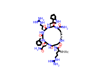 CC(=O)NC(CCCNC(=N)N)C(=O)N[C@H]1CC(=O)NCCCC[C@@H](C(N)=O)NC(=O)[C@H](Cc2c[nH]c3ccccc23)NC(=O)[C@H](CCCNC(=N)N)NC(=O)[C@@H](Cc2ccccc2)NC(=O)[C@H](CCC(N)=O)NC1=O